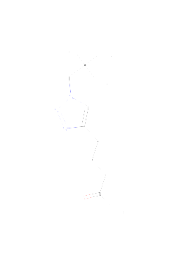 CC(=O)CCCc1cn(CC(C)(C)C)nn1